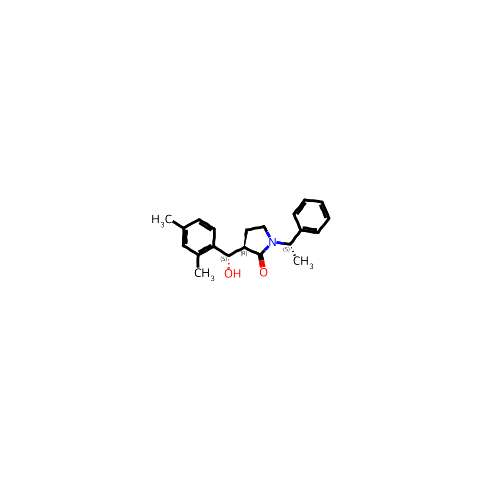 Cc1ccc([C@@H](O)[C@H]2CCN([C@@H](C)c3ccccc3)C2=O)c(C)c1